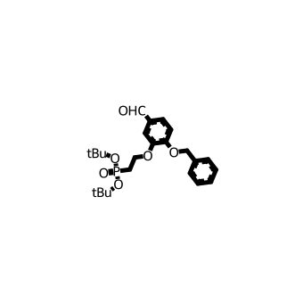 CC(C)(C)OP(=O)(CCOc1cc(C=O)ccc1OCc1ccccc1)OC(C)(C)C